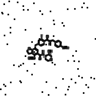 COc1c(C(=O)N[C@H]2CCOC[C@@H]2O)cc(Cc2ccc(C(=O)NCc3ccc(SC)cc3)c(F)c2)c2c1CCO2